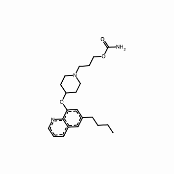 CCCCc1cc(OC2CCN(CCCOC(N)=O)CC2)c2ncccc2c1